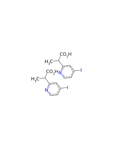 CC(C(=O)O)c1cc(I)ccn1.CC(C(=O)O)c1cc(I)ccn1